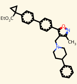 CCOC(=O)C1(c2ccc(-c3ccc(-c4onc(C)c4CN4CCC(c5ccccc5)CC4)cc3)cc2)CC1